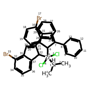 C[SiH](C)[Zr]([Cl])([Cl])([CH]1C(c2ccccc2)=Cc2c(Br)cccc21)[CH]1C(c2ccccc2)=Cc2c(Br)cccc21